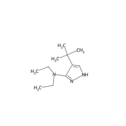 CCN(CC)c1n[nH]cc1C(C)(C)C